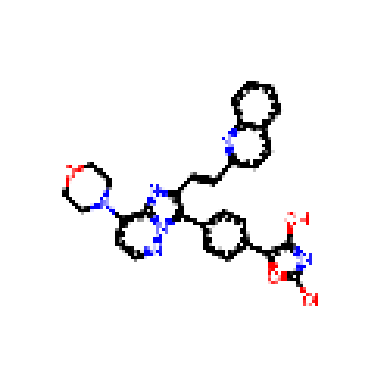 Oc1nc(O)c(-c2ccc(-c3c(C=Cc4ccc5ccccc5n4)nc4c(N5CCOCC5)ccnn34)cc2)o1